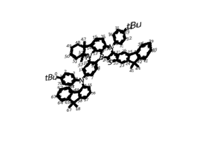 CC(C)(C)c1ccc(N(c2ccc3c(c2)N2c4c(ccc5c4B3c3sc4cc6c(cc4c3N5c3ccc(C(C)(C)C)cc3)-c3ccccc3C6(C)C)C3(C)CCCCC23C)c2cccc3c2-c2ccccc2C3(C)C)cc1